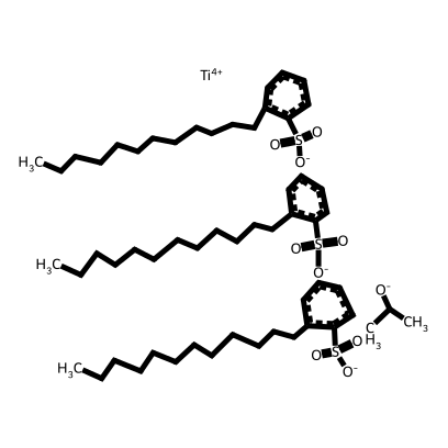 CC(C)[O-].CCCCCCCCCCCCc1ccccc1S(=O)(=O)[O-].CCCCCCCCCCCCc1ccccc1S(=O)(=O)[O-].CCCCCCCCCCCCc1ccccc1S(=O)(=O)[O-].[Ti+4]